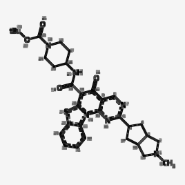 CN1CC2CC(c3ncc4c(=O)c(C(=O)NC5CCN(C(=O)OC(C)(C)C)CC5)c5sc6ccccc6n5c4n3)CC2C1